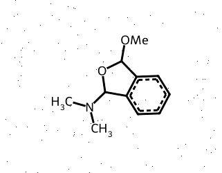 COC1OC(N(C)C)c2ccccc21